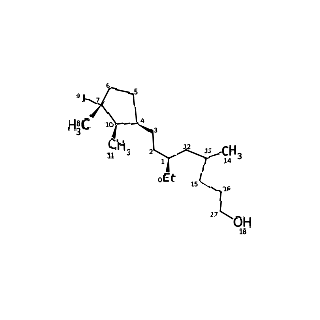 CC[C@@H](CC[C@@H]1CC[C@@](C)(I)[C@@H]1C)CC(C)CCCO